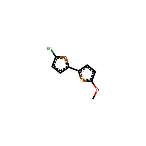 COc1ccc(-c2ccc(Br)s2)s1